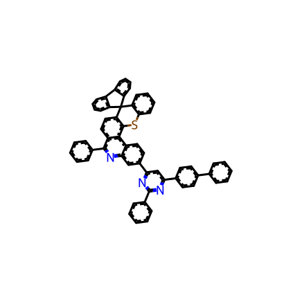 c1ccc(-c2ccc(-c3cc(-c4ccc5c(c4)nc(-c4ccccc4)c4ccc6c(c45)Sc4ccccc4C64c5ccccc5-c5ccccc54)nc(-c4ccccc4)n3)cc2)cc1